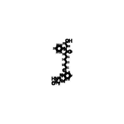 O=C1CN2Cc3cccc(OCCCCCCC(=O)N(CCO)c4ccccc4)c3N=C2N1